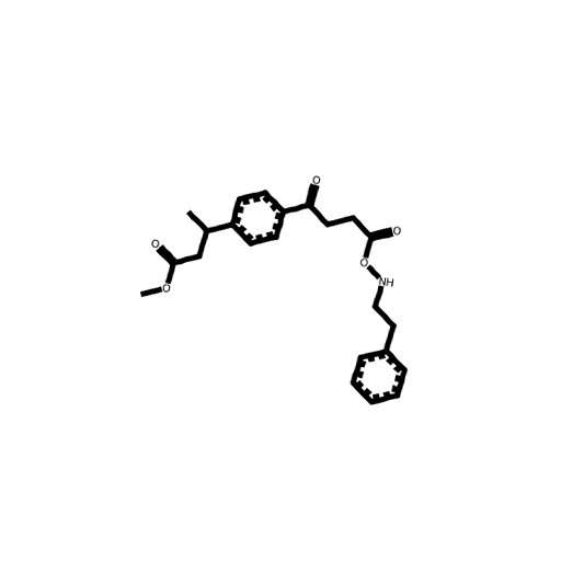 COC(=O)CC(C)c1ccc(C(=O)CCC(=O)ONCCc2ccccc2)cc1